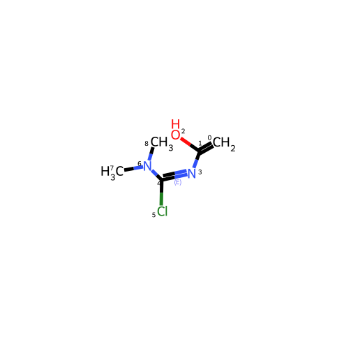 C=C(O)/N=C(/Cl)N(C)C